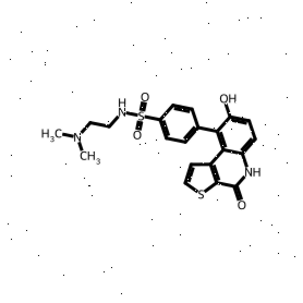 CN(C)CCNS(=O)(=O)c1ccc(-c2c(O)ccc3[nH]c(=O)c4sccc4c23)cc1